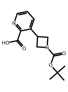 CC(C)(C)OC(=O)N1CC(c2cccnc2C(=O)O)C1